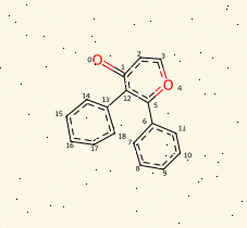 O=c1ccoc(-c2ccccc2)c1-c1ccccc1